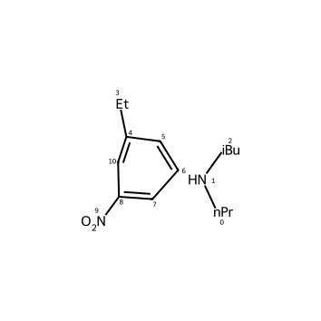 CCCNC(C)CC.CCc1cccc([N+](=O)[O-])c1